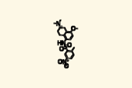 COc1ccc(NS(=O)(=O)c2cc([N+](=O)[O-])ccc2C)c2c1C[C@@H](N(C)C)CC2